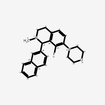 CN1CCc2ccc(N3CCOCC3)c(F)c2C1c1ccc2ccccc2c1